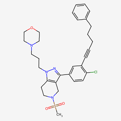 CS(=O)(=O)N1CCc2c(c(-c3ccc(Cl)c(C#CCCCc4ccccc4)c3)nn2CCCN2CCOCC2)C1